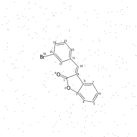 O=C1Oc2ccccc2C1=Cc1cccc(Br)c1